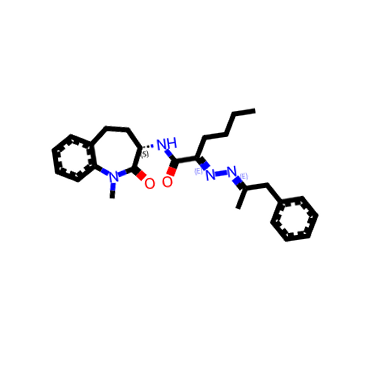 CCCC/C(=N\N=C(/C)Cc1ccccc1)C(=O)N[C@H]1CCc2ccccc2N(C)C1=O